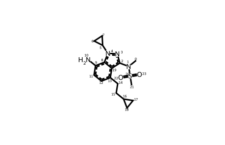 CN(c1nn(C2CC2)c2c(N)ccc(CCC3CC3)c12)S(C)(=O)=O